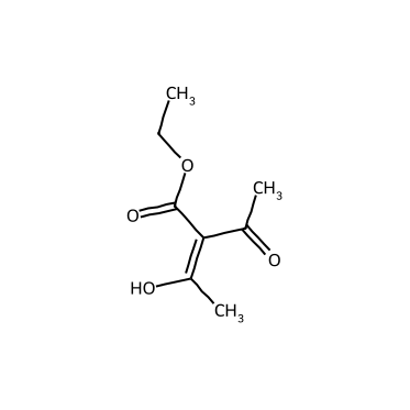 CCOC(=O)/C(C(C)=O)=C(/C)O